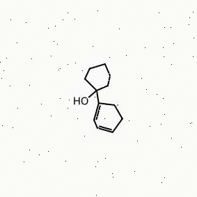 OC1(C2=CC=CC[CH]2)CCCCC1